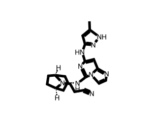 Cc1cc(Nc2cc3nccn3c(N[C@@H]3C[C@H]4CC[C@@H](C3)N4CCC#N)n2)n[nH]1